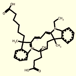 CCN1/C(=C/C=C/C2=[N+](CC)c3ccccc3C2(C)CCCCCC(=O)O)C(C)(CCCCCC(=O)O)c2ccccc21